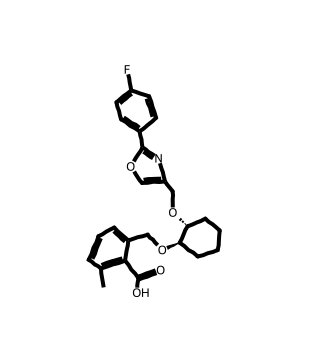 Cc1cccc(CO[C@@H]2CCCC[C@H]2OCc2coc(-c3ccc(F)cc3)n2)c1C(=O)O